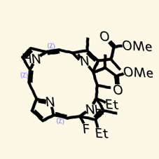 CCC1=C(C)C2(CC)NC1(F)/C=C1/C=CC(=N1)/C=c1/cc/c([nH]1)=C/C1=NC(C(C)C(=O)OC)(C(C(C)C(=O)OC)=C1C)C2C